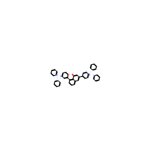 c1ccc(N(c2ccccc2)c2ccc(-c3cc4c5c(cccc5c3)-c3cc(N(c5ccccc5)c5ccccc5)ccc3O4)cc2)cc1